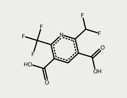 O=C(O)c1cc(C(=O)O)c(C(F)(F)F)nc1C(F)F